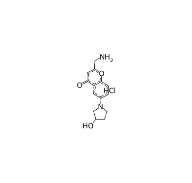 Cl.NCc1cc(=O)c2cc(N3CCC(O)C3)ccc2o1